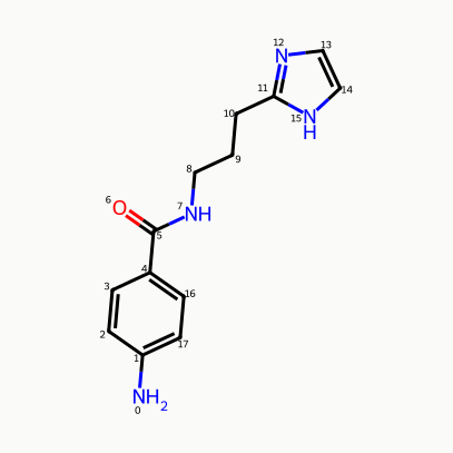 Nc1ccc(C(=O)NCCCc2ncc[nH]2)cc1